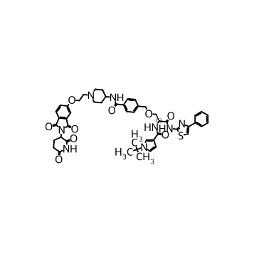 CC(C)(C)n1ccc(C(=O)N[C@@H](COCc2ccc(C(=O)NC3CCN(CCOc4ccc5c(c4)C(=O)N(C4CCC(=O)NC4=O)C5=O)CC3)cc2)C(=O)Nc2nc(-c3ccccc3)cs2)c1